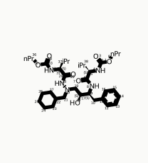 CCCOC(=O)N[C@H](C(=O)N[C@@H](Cc1ccccc1)[C@@H](O)CN(CC1CCCCC1)NC(=O)[C@@H](NC(=O)OCCC)C(C)C)C(C)C